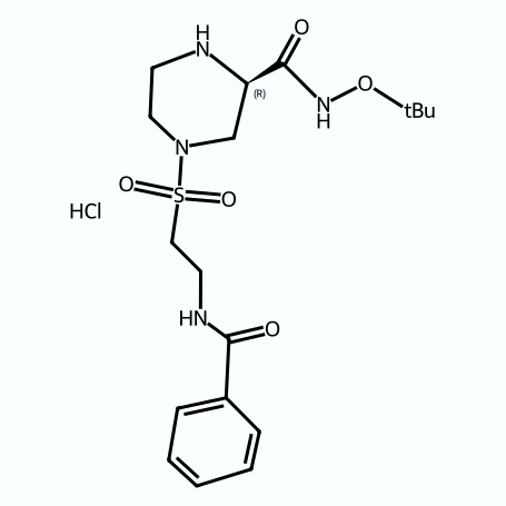 CC(C)(C)ONC(=O)[C@H]1CN(S(=O)(=O)CCNC(=O)c2ccccc2)CCN1.Cl